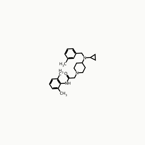 Cc1cccc(CN(C2CC2)C2CCN(CC(=O)Nc3c(C)cccc3C)CC2)c1